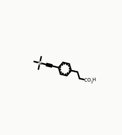 C[Si](C)(C)C#Cc1ccc(CCC(=O)O)cc1